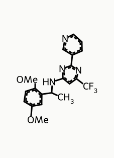 COc1ccc(OC)c(C(C)Nc2cc(C(F)(F)F)nc(-c3cccnc3)n2)c1